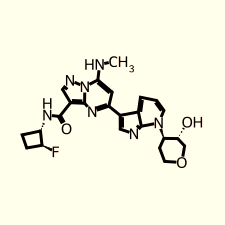 CNc1cc(-c2cnc3n([C@@H]4CCOC[C@H]4O)cccc2-3)nc2c(C(=O)N[C@H]3CC[C@@H]3F)cnn12